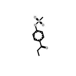 CCC(=O)c1ccc(OS(C)(=O)=O)cc1